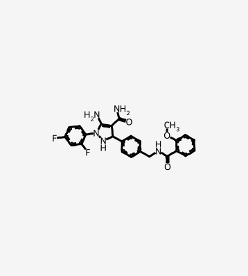 COc1ccccc1C(=O)NCc1ccc(C2NN(c3ccc(F)cc3F)C(N)=C2C(N)=O)cc1